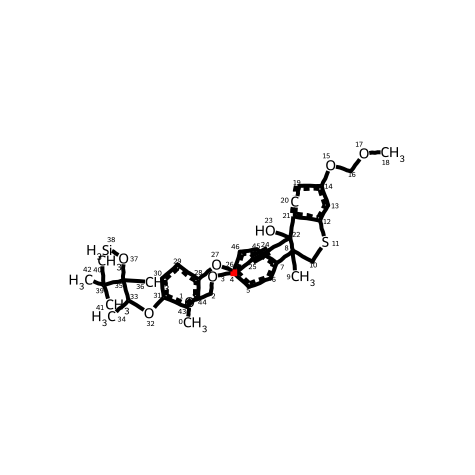 COCOc1ccc(C2(C)CSc3cc(OCOC)ccc3C2(O)C#CCOc2ccc(OC(C)C(C)(O[SiH3])C(C)(C)C)cc2)cc1